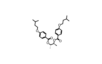 CC(C)CCOc1ccc(C(=O)O[C@@H](C)[C@H](C)OC(=O)c2ccc(OCCC(C)C)cc2)cc1